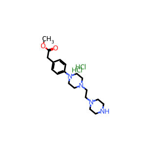 COC(=O)Cc1ccc(N2CCN(CCN3CCNCC3)CC2)cc1.Cl.Cl